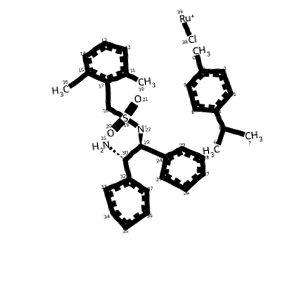 Cc1ccc(C(C)C)cc1.Cc1cccc(C)c1CS(=O)(=O)[N-][C@@H](c1ccccc1)[C@@H](N)c1ccccc1.[Cl][Ru+]